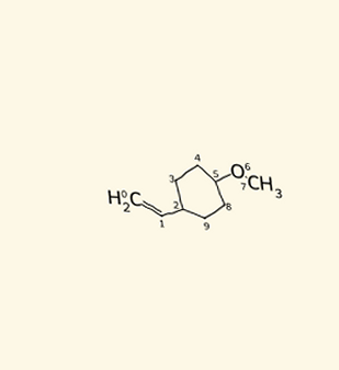 C=CC1CCC(OC)CC1